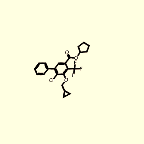 O=C(OC1CCCC1)c1cc(-c2ccccc2)c(Cl)c(OCC2CC2)c1C(F)(F)F